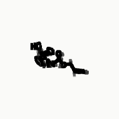 C=CCOC(=O)NS(=O)(=O)O